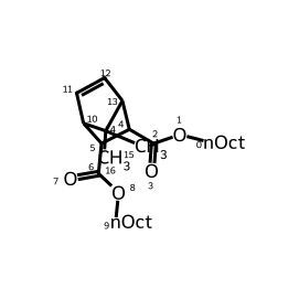 CCCCCCCCOC(=O)C1C(C(=O)OCCCCCCCC)C2C=CC1C2(C)C